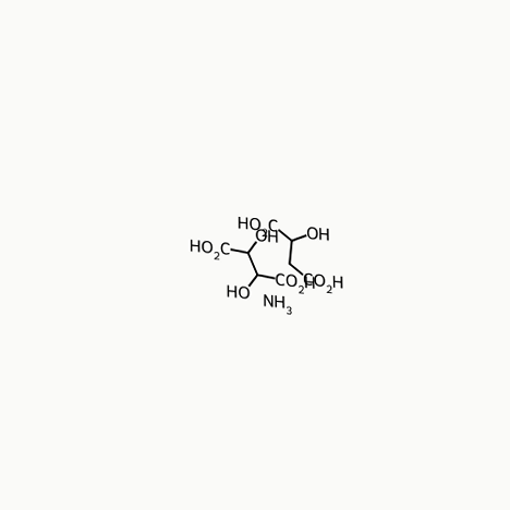 N.O=C(O)C(O)C(O)C(=O)O.O=C(O)CC(O)C(=O)O